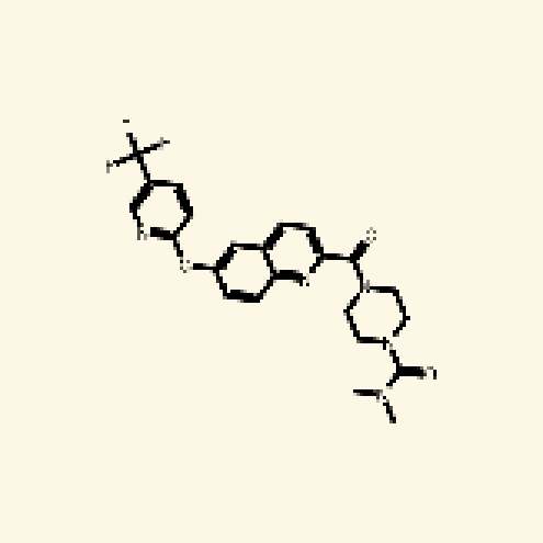 CN(C)C(=O)N1CCN(C(=O)c2ccc3cc(Oc4ccc(C(F)(F)F)cn4)ccc3n2)CC1